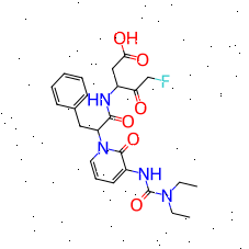 CCN(CC)C(=O)Nc1cccn(C(Cc2ccccc2)C(=O)NC(CC(=O)O)C(=O)CF)c1=O